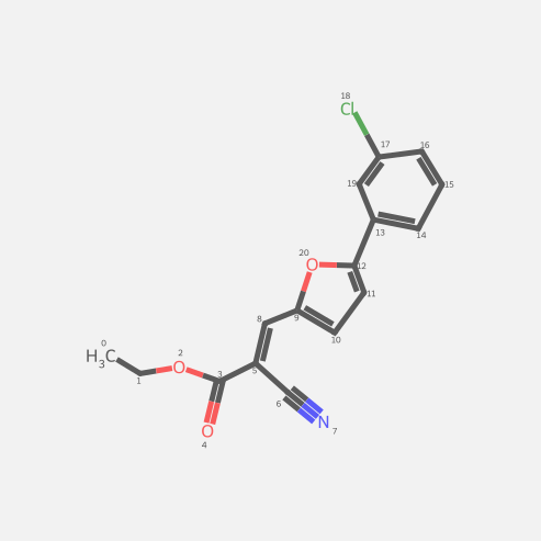 CCOC(=O)/C(C#N)=C/c1ccc(-c2cccc(Cl)c2)o1